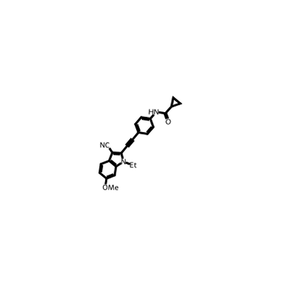 CCn1c(C#Cc2ccc(NC(=O)C3CC3)cc2)c(C#N)c2ccc(OC)cc21